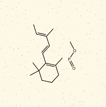 CC=C(C)C=CC1=C(C)CCCC1(C)C.COP=O